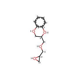 c1ccc2c(c1)OCC(COCC1CO1)O2